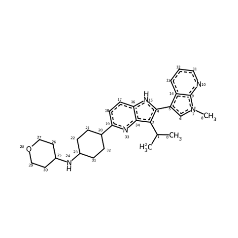 CC(C)c1c(-c2cn(C)c3ncccc23)[nH]c2ccc(C3CCC(NC4CCOCC4)CC3)nc12